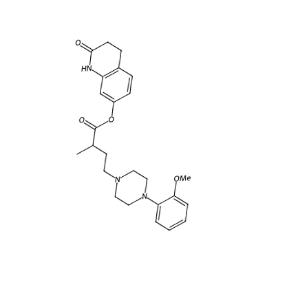 COc1ccccc1N1CCN(CCC(C)C(=O)Oc2ccc3c(c2)NC(=O)CC3)CC1